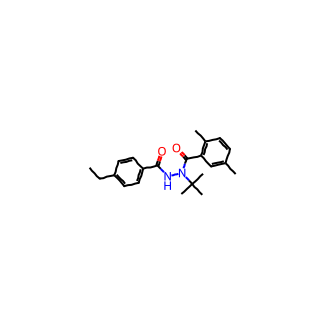 CCc1ccc(C(=O)NN(C(=O)c2cc(C)ccc2C)C(C)(C)C)cc1